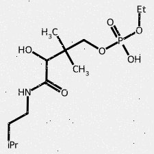 CCOP(=O)(O)OCC(C)(C)C(O)C(=O)NCCC(C)C